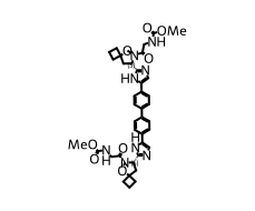 COC(=O)NCC(=O)N1OC2(CCC2)C[C@H]1c1ncc(-c2ccc(-c3ccc(-c4cnc([C@@H]5CC6(CCC6)ON5C(=O)CNC(=O)OC)[nH]4)cc3)cc2)[nH]1